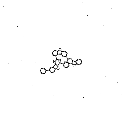 c1ccc(-c2ccc3oc4c(-c5ccccc5)nc(-c5cccc6oc7ccc(-c8ccc9oc%10ccccc%10c9c8)cc7c56)nc4c3c2)cc1